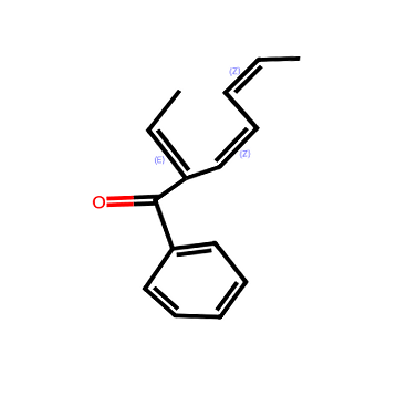 C\C=C/C=C\C(=C/C)C(=O)c1ccccc1